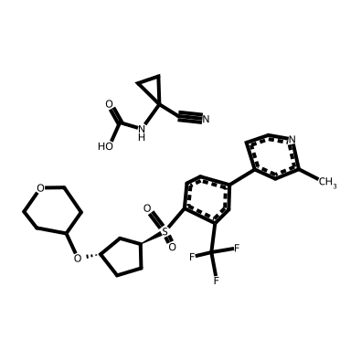 Cc1cc(-c2ccc(S(=O)(=O)[C@H]3CC[C@H](OC4CCOCC4)C3)c(C(F)(F)F)c2)ccn1.N#CC1(NC(=O)O)CC1